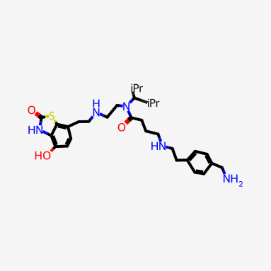 CC(C)C(C(C)C)N(CCNCCc1ccc(O)c2[nH]c(=O)sc12)C(=O)CCCNCCc1ccc(CN)cc1